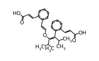 CC(C)C(OC=Cc1ccccc1C=CC(=O)O)=C(c1ccccc1C=CC(=O)O)C(C)C